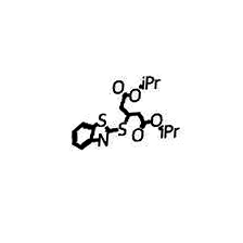 CC(C)OC(=O)CC(CC(=O)OC(C)C)Sc1nc2ccccc2s1